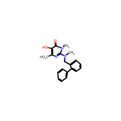 CN(Cc1ccccc1-c1ccccc1)c1nc(C(=O)O)c(O)c(=O)n1C